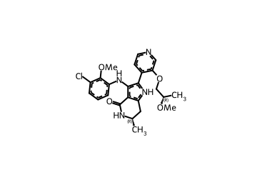 COc1c(Cl)cccc1Nc1c(-c2ccncc2OC[C@@H](C)OC)[nH]c2c1C(=O)N[C@H](C)C2